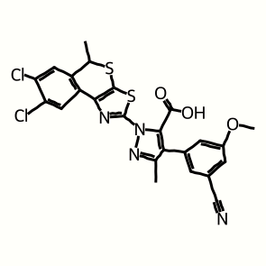 COc1cc(C#N)cc(-c2c(C)nn(-c3nc4c(s3)SC(C)c3cc(Cl)c(Cl)cc3-4)c2C(=O)O)c1